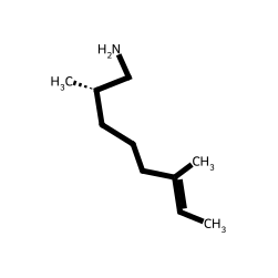 C/C=C(\C)CCC[C@H](C)CN